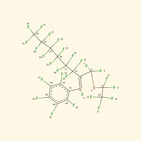 FC(=C(C(F)(F)SC(F)(F)C(F)(F)F)C(F)(F)C(F)(F)C(F)(F)C(F)(F)C(F)(F)C(F)(F)F)c1c(F)c(F)c(F)c(F)c1F